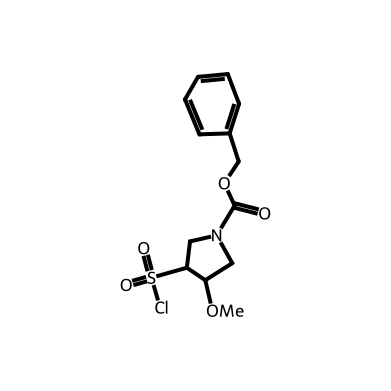 COC1CN(C(=O)OCc2ccccc2)CC1S(=O)(=O)Cl